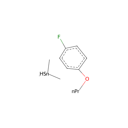 [CH2]CCOc1ccc(F)cc1.[CH3][SnH]([CH3])[CH3]